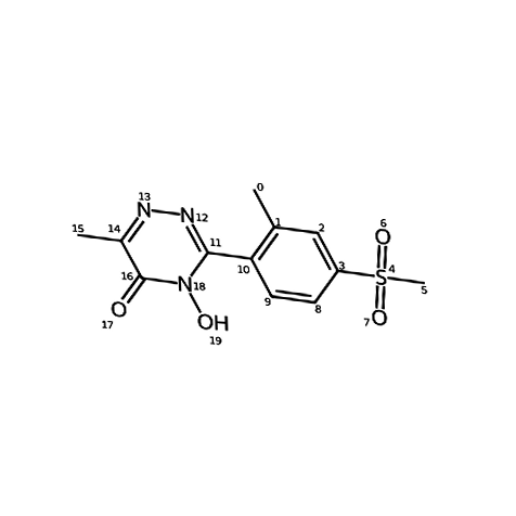 Cc1cc(S(C)(=O)=O)ccc1-c1nnc(C)c(=O)n1O